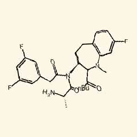 CCCCC(=O)C1[C@@H](N(C(=O)Cc2cc(F)cc(F)c2)C(=O)[C@H](C)N)CCc2ccc(F)cc2N1C